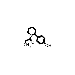 CCC(=O)N1CCCCC1c1ccc(O)cc1